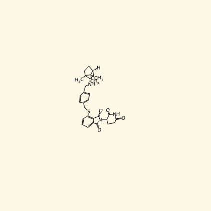 CC1(C)[C@@H]2CC[C@@]1(C)[C@@H](NCc1ccc(CSc3cccc4c3C(=O)N(C3CCC(=O)NC3=O)C4=O)cc1)C2